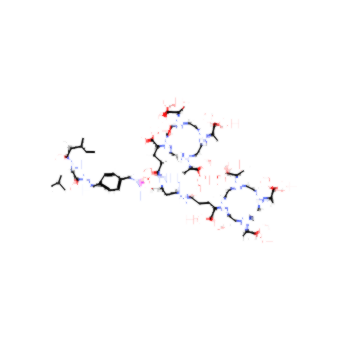 CCC(C)[C@H](C)C(=O)N[C@@H](CC(C)C)C(=O)NCc1ccc(CNOC[C@H](CCNC(=O)CCC(C(=O)O)N2CCN(C(C)C(=O)O)CCN(C(C)C(=O)O)CCN(C(C)C(=O)O)CC2)NC(=O)CCC(C(=O)O)N2CCN(C(C)C(=O)O)CCN(C(C)C(=O)O)CCN(C(C)C(=O)O)CC2)cc1